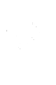 CC(C)(C)OC(=O)N[C@@H](COCc1ccccc1)C(=O)C(C#N)=P(c1ccccc1)(c1ccccc1)c1ccccc1